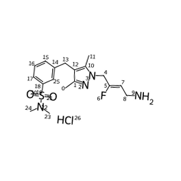 Cc1nn(CC(F)=CCN)c(C)c1Cc1cccc(S(=O)(=O)N(C)C)c1.Cl